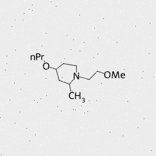 CCCOC1CCN(CCOC)C(C)C1